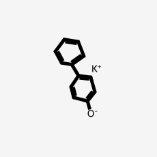 [K+].[O-]c1ccc(-c2ccccc2)cc1